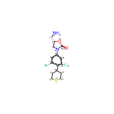 NC[C@H]1CN(c2cc(F)c(C3CCSCC3)c(F)c2)C(=O)O1